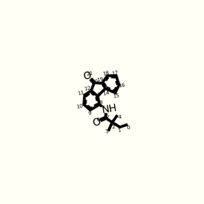 CCC(C)(C)C(=O)Nc1cccc2c1-c1ccccc1C2=O